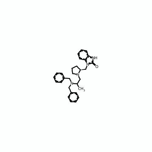 CC(CN1CCC[C@H]1Cn1c(=O)[nH]c2ccccc21)N(Cc1ccccc1)Cc1ccccc1